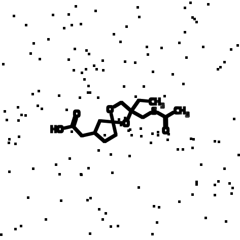 CCC1(CSC(C)=O)COC2(CCC(CC(=O)O)C2)O1